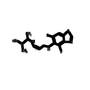 CCCCN(C)C(C)N/C=C\CNc1c(F)cc2scnc2c1F